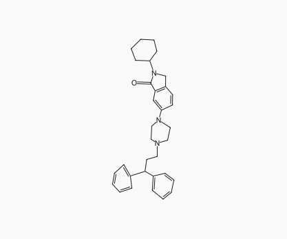 O=C1c2cc(N3CCN(CCC(c4ccccc4)c4ccccc4)CC3)ccc2CN1C1CCCCC1